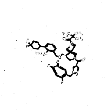 CC(C)(C(=O)N1CC2(CN(C(=O)c3cnn(Cc4cc(F)c(F)cc4F)c3)C[C@H]2COCc2cccc(C3CCC(F)(F)CC3)c2C(=O)O)C1)C(F)(F)F